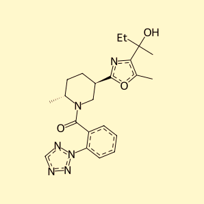 CCC(C)(O)c1nc([C@@H]2CC[C@@H](C)N(C(=O)c3ccccc3-n3ncnn3)C2)oc1C